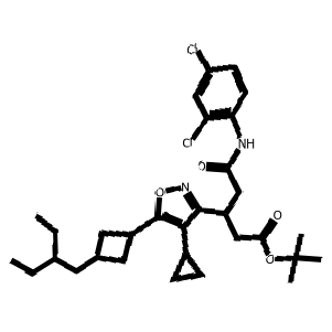 CCC(CC)CC1CC(c2onc(C(CC(=O)Nc3ccc(Cl)cc3Cl)CC(=O)OC(C)(C)C)c2C2CC2)C1